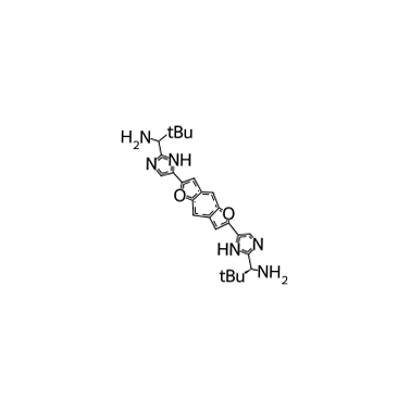 CC(C)(C)C(N)c1ncc(-c2cc3cc4oc(-c5cnc([C@@H](N)C(C)(C)C)[nH]5)cc4cc3o2)[nH]1